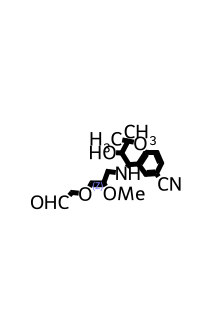 CO/C(=C\OCC=O)CNC1c2cc(C#N)ccc2OC(C)(C)C1O